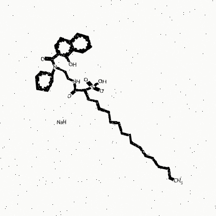 CCCCCCCCCCCCCCCCC(C(=O)NCCN(C(=O)c1ccc2ccccc2c1O)c1ccccc1)S(=O)(=O)O.[NaH]